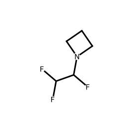 FC(F)C(F)N1CCC1